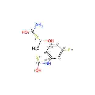 CCO.NC(O)=S.OC(=S)Nc1cccc(F)c1